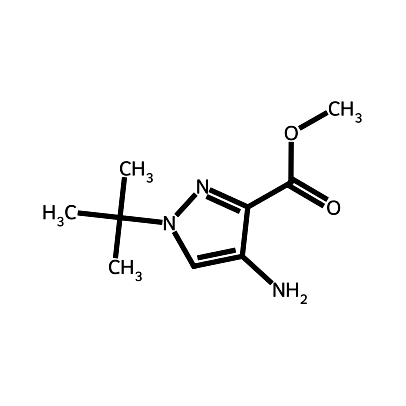 COC(=O)c1nn(C(C)(C)C)cc1N